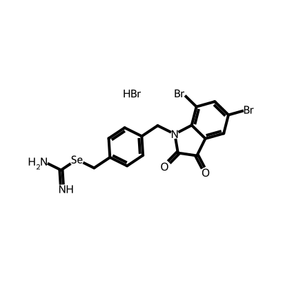 Br.N=C(N)[Se]Cc1ccc(CN2C(=O)C(=O)c3cc(Br)cc(Br)c32)cc1